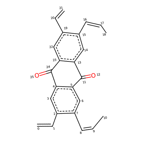 C=Cc1cc2c(cc1/C=C\C)C(=O)c1cc(/C=C\C)c(C=C)cc1C2=O